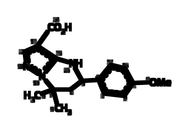 COc1ccc(C2CC(C)(C)n3ncc(C(=O)O)c3N2)cc1